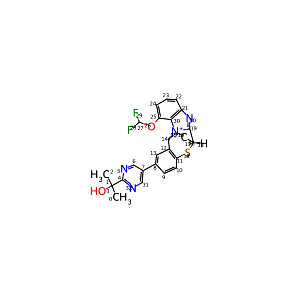 CC(C)(O)c1ncc(-c2ccc3c(c2)C[N@+]24C[C@@H](S3)C2=Nc2cccc(OC(F)F)c24)cn1